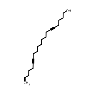 C=CCCCC#CCCCCCCCC#CCCCCO